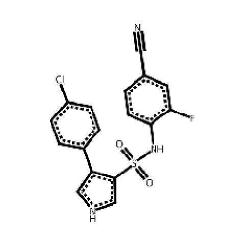 N#Cc1ccc(NS(=O)(=O)c2c[nH]cc2-c2ccc(Cl)cc2)c(F)c1